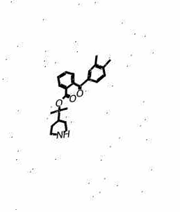 Cc1ccc(C(=O)c2ccccc2C(=O)OC(C)(C)C2CCNCC2)cc1C